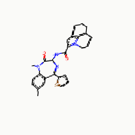 Cc1ccc2c(c1)C(c1cccs1)=NC(NC(=O)c1cc3c4n1CC=CC=4CCC=3)C(=O)N2C